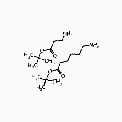 CC(C)(C)OC(=O)CCCCCN.CC(C)(C)OC(=O)CCN